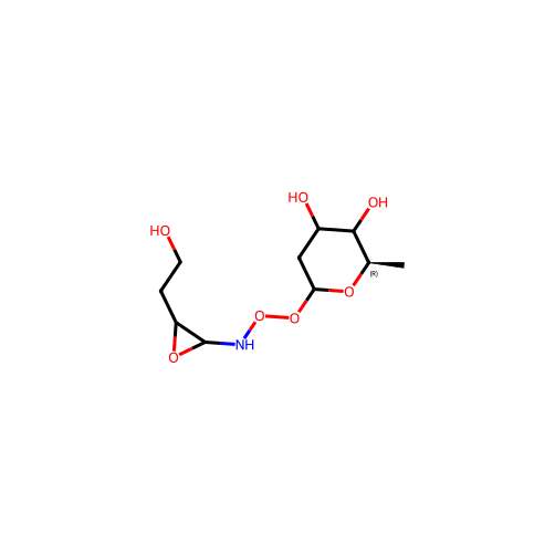 C[C@H]1OC(OONC2OC2CCO)CC(O)C1O